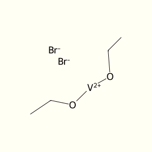 CC[O][V+2][O]CC.[Br-].[Br-]